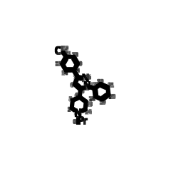 CC(C)N1CCC(c2cc(-c3ccc(Cl)cc3)nn2-c2ccccc2)CC1